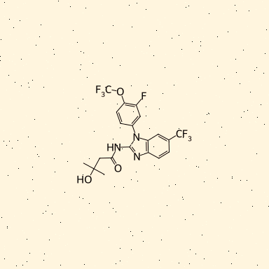 CC(C)(O)CC(=O)Nc1nc2ccc(C(F)(F)F)cc2n1-c1ccc(OC(F)(F)F)c(F)c1